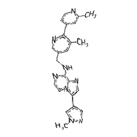 Cc1cc(-c2ncc(CNc3nccn4c(-c5cnn(C)c5)cnc34)cc2C)ccn1